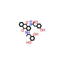 CC(Cc1cc(O)ccc1O)Nc1ccc(NC(C)Cc2cc(O)ccc2O)c2c1C(=O)c1ccccc1C2=O